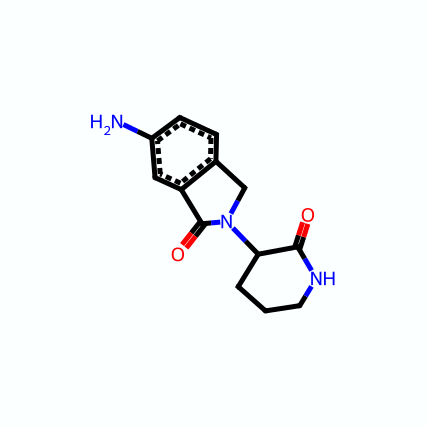 Nc1ccc2c(c1)C(=O)N(C1CCCNC1=O)C2